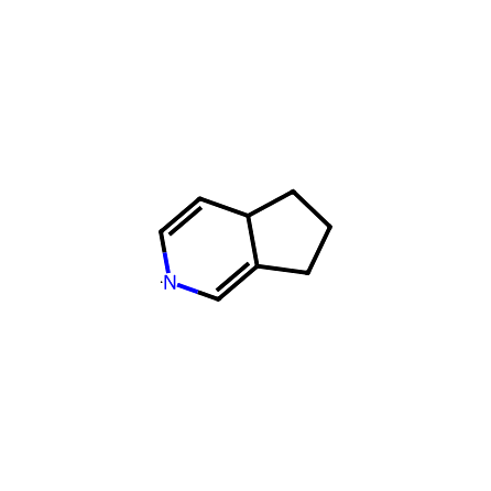 C1=CC2CCCC2=C[N]1